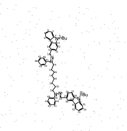 CCCCn1c2ccccc2c2cc(/C=N/N(CCCCCCCCN(/N=C/c3ccc4c(c3)c3ccccc3n4CCCC)c3ccccc3)c3ccccc3)ccc21